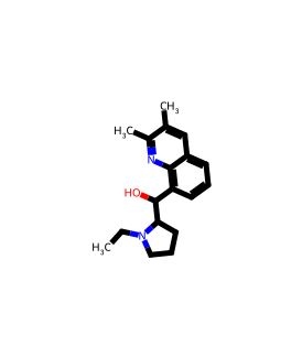 CCN1CCCC1C(O)c1cccc2cc(C)c(C)nc12